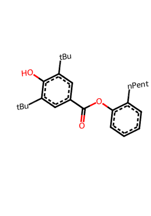 CCCCCc1ccccc1OC(=O)c1cc(C(C)(C)C)c(O)c(C(C)(C)C)c1